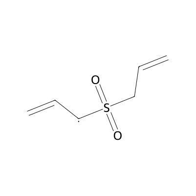 C=C[CH]S(=O)(=O)CC=C